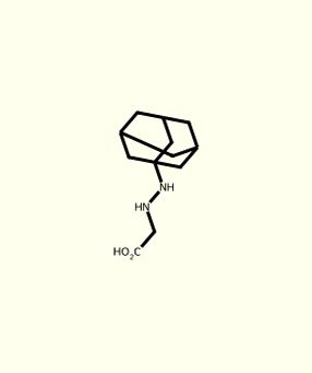 O=C(O)CNNC12CC3CC(CC(C3)C1)C2